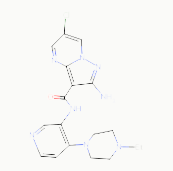 CCN1CCN(c2ccncc2NC(=O)c2c(N)nn3cc(Cl)cnc23)CC1